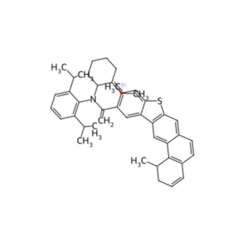 C=C(c1cc2c(cc1C)sc1cc3ccc4c(c3cc12)C(C)CC=C4)N(c1c(C(C)C)cccc1C(C)C)C1CCCC/C1=C\C